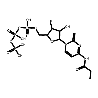 C=C1N=C(NC(=O)CC)C=CN1C1OC(COP(=O)(O)OP(=O)(O)OP(=O)(O)O)C(O)C1O